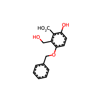 O=C(O)c1c(O)ccc(OCc2ccccc2)c1CO